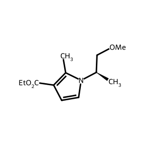 CCOC(=O)c1ccn([C@H](C)COC)c1C